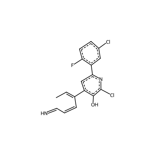 C/C=C(\C=C/C=N)c1cc(-c2cc(Cl)ccc2F)nc(Cl)c1O